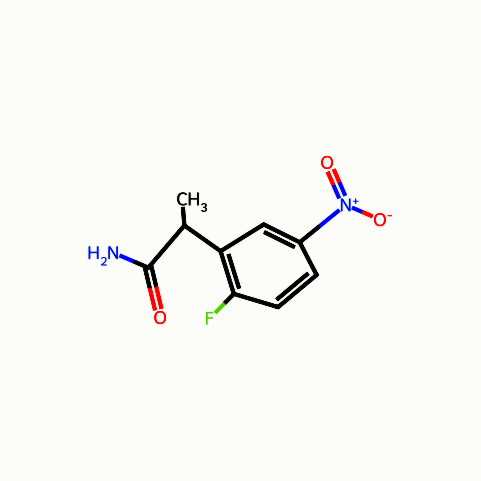 CC(C(N)=O)c1cc([N+](=O)[O-])ccc1F